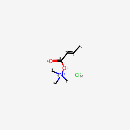 CC=CC(=O)O[N+](C)(C)C.[Cl-]